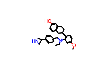 CCN(Cc1ccc(C2CNC2)cc1)c1cc(OC)ccc1C1CCc2cc(O)ccc2C1